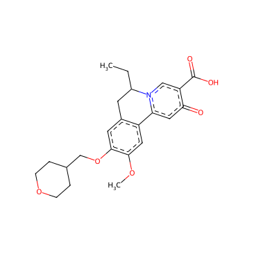 CCC1Cc2cc(OCC3CCOCC3)c(OC)cc2-c2cc(=O)c(C(=O)O)cn21